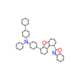 c1ccc(-c2ccc(N(c3ccccc3)c3ccc(-c4cccc5c4oc4cccc(-c6nc7ccccc7o6)c45)cc3)cc2)cc1